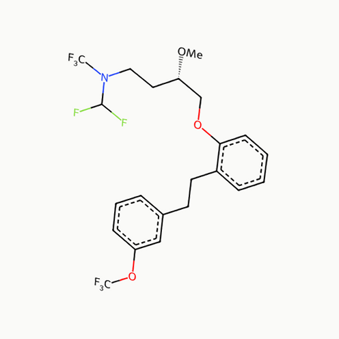 CO[C@@H](CCN(C(F)F)C(F)(F)F)COc1ccccc1CCc1cccc(OC(F)(F)F)c1